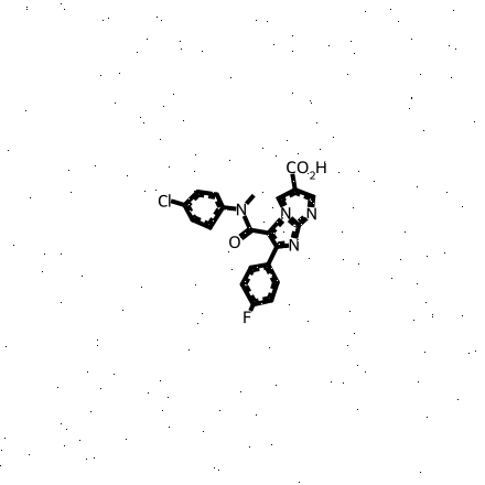 CN(C(=O)c1c(-c2ccc(F)cc2)nc2ncc(C(=O)O)cn12)c1ccc(Cl)cc1